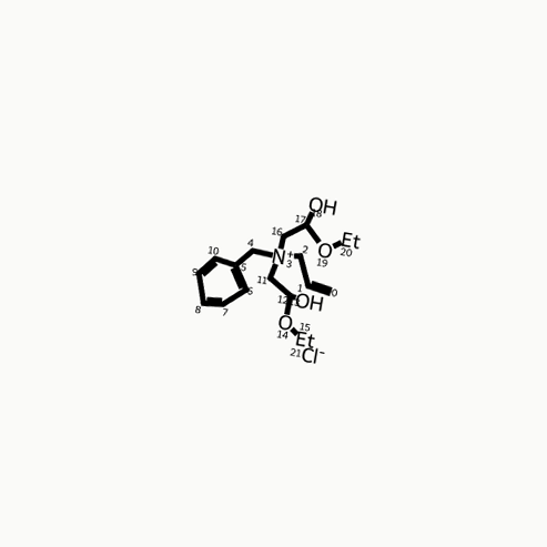 C=CC[N+](Cc1ccccc1)(CC(O)OCC)CC(O)OCC.[Cl-]